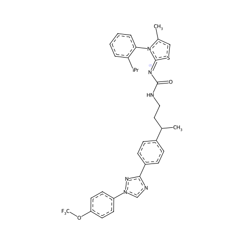 Cc1cs/c(=N\C(=O)NCCC(C)c2ccc(-c3ncn(-c4ccc(OC(F)(F)F)cc4)n3)cc2)n1-c1ccccc1C(C)C